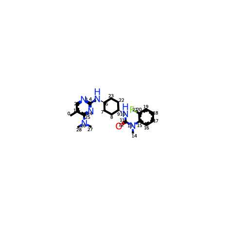 Cc1cnc(N[C@H]2CC[C@@H](NC(=O)N(C)c3ccccc3F)CC2)nc1N(C)C